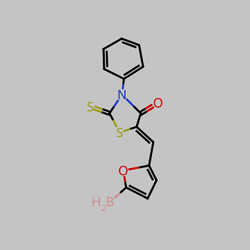 Bc1ccc(/C=C2\SC(=S)N(c3ccccc3)C2=O)o1